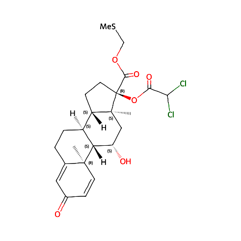 CSCOC(=O)[C@@]1(OC(=O)C(Cl)Cl)CC[C@H]2[C@@H]3CCC4=CC(=O)C=C[C@]4(C)[C@H]3[C@@H](O)C[C@@]21C